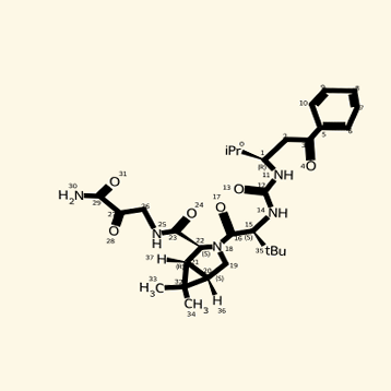 CC(C)[C@@H](CC(=O)c1ccccc1)NC(=O)N[C@H](C(=O)N1C[C@H]2[C@@H]([C@H]1C(=O)NCC(=O)C(N)=O)C2(C)C)C(C)(C)C